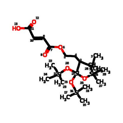 CC(C)C(CCOC(=O)C=CC(=O)O)[Si](O[Si](C)(C)C)(O[Si](C)(C)C)O[Si](C)(C)C